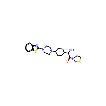 NC(C(=O)N1CCSC1)C1CCC(N2CCN(c3nc4ccccc4s3)CC2)CC1